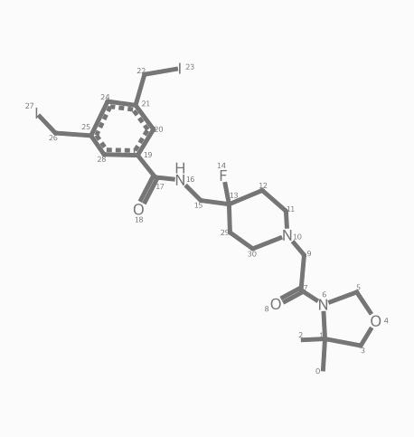 CC1(C)COCN1C(=O)CN1CCC(F)(CNC(=O)c2cc(CI)cc(CI)c2)CC1